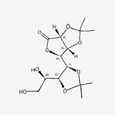 CC1(C)O[C@H]([C@H]2OC(=O)[C@@H]3OC(C)(C)O[C@H]23)[C@H]([C@H](O)CO)O1